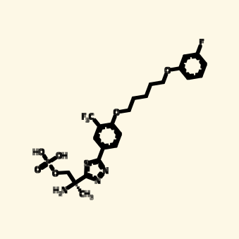 C[C@](N)(COP(=O)(O)O)c1nnc(-c2ccc(OCCCCCOc3cccc(F)c3)c(C(F)(F)F)c2)s1